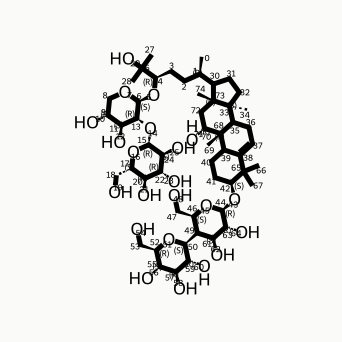 C[C@H](CC[C@@H](O[C@@H]1OC[C@@H](O)[C@H](O)[C@H]1O[C@H]1O[C@@H](CO)[C@H](O)[C@@H](O)[C@@H]1O)C(C)(C)O)C1CC[C@@]2(C)C3CC=C4C(CC[C@H](O[C@@H]5O[C@H](CO)C([C@@H]6O[C@H](CO)[C@@H](O)[C@H](O)[C@H]6O)[C@H](O)[C@H]5O)C4(C)C)[C@]3(C)[C@H](O)C[C@]12C